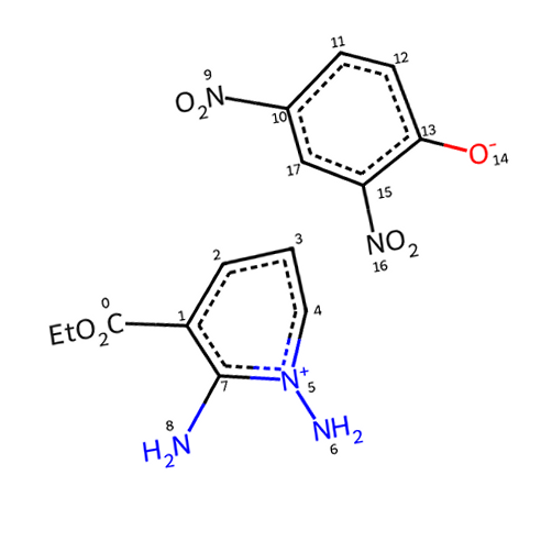 CCOC(=O)c1ccc[n+](N)c1N.O=[N+]([O-])c1ccc([O-])c([N+](=O)[O-])c1